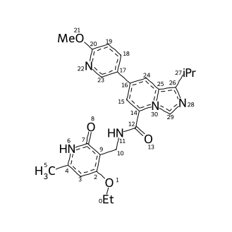 CCOc1cc(C)[nH]c(=O)c1CNC(=O)c1cc(-c2ccc(OC)nc2)cc2c(C(C)C)ncn12